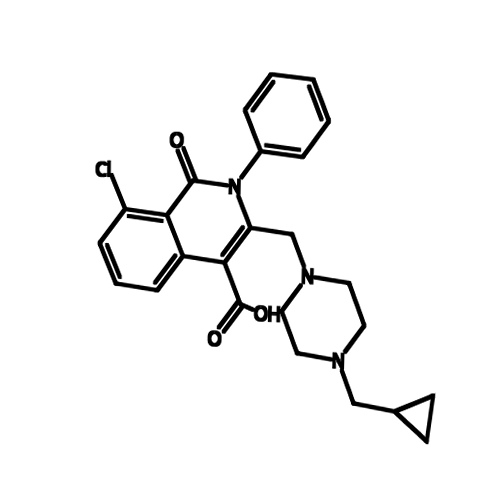 O=C(O)c1c(CN2CCN(CC3CC3)CC2)n(-c2ccccc2)c(=O)c2c(Cl)cccc12